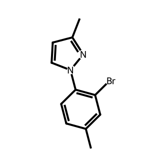 Cc1ccc(-n2ccc(C)n2)c(Br)c1